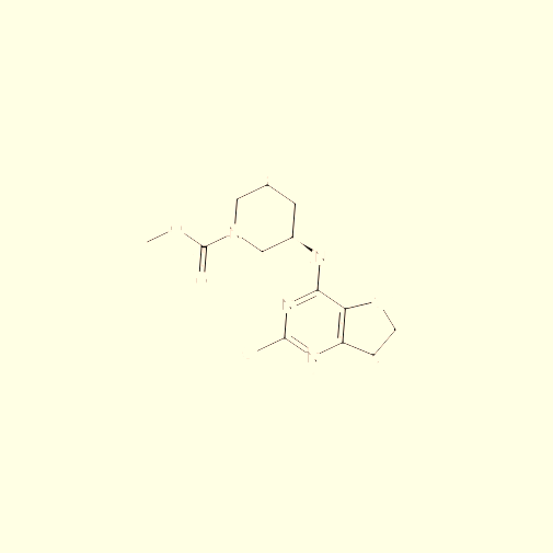 COC(=O)N1CCC[C@@H](Nc2nc(Cl)nc3c2SCC3)C1